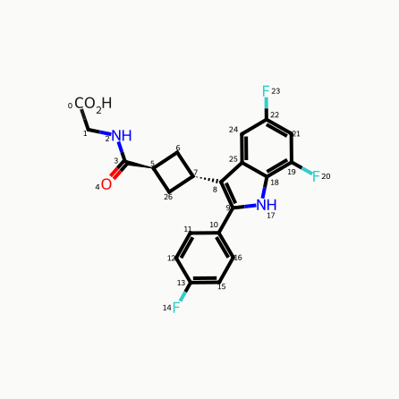 O=C(O)CNC(=O)[C@H]1C[C@H](c2c(-c3ccc(F)cc3)[nH]c3c(F)cc(F)cc32)C1